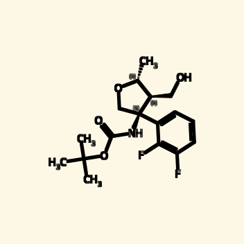 C[C@H]1OC[C@@](NC(=O)OC(C)(C)C)(c2cccc(F)c2F)[C@@H]1CO